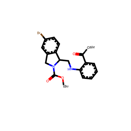 COC(=O)c1ccccc1NCC1c2ccc(Br)cc2CN1C(=O)OC(C)(C)C